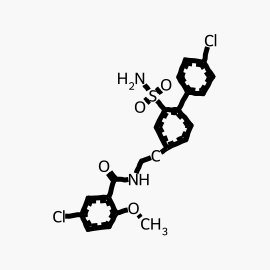 COc1ccc(Cl)cc1C(=O)NCCc1ccc(-c2ccc(Cl)cc2)c(S(N)(=O)=O)c1